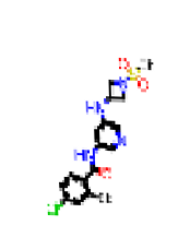 CCc1cc(Cl)ccc1C(=O)Nc1cncc(NC2CN(S(=O)(=O)CC)C2)c1